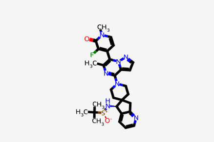 Cc1nc(N2CCC3(CC2)Cc2ncccc2[C@H]3N[S@+]([O-])C(C)(C)C)c2ccnn2c1-c1ccn(C)c(=O)c1F